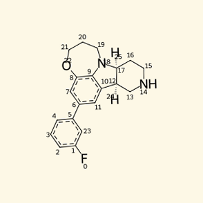 Fc1cccc(-c2cc3c4c(c2)[C@@H]2CNCC[C@@H]2N4CCCO3)c1